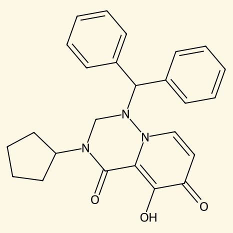 O=C1c2c(O)c(=O)ccn2N(C(c2ccccc2)c2ccccc2)CN1C1CCCC1